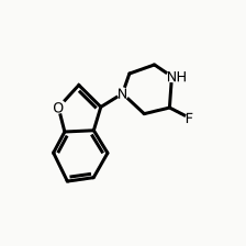 FC1CN(c2coc3ccccc23)CCN1